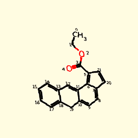 CCOC(=O)C1=c2c(ccc3c2=Cc2ccccc2C3)C=C1